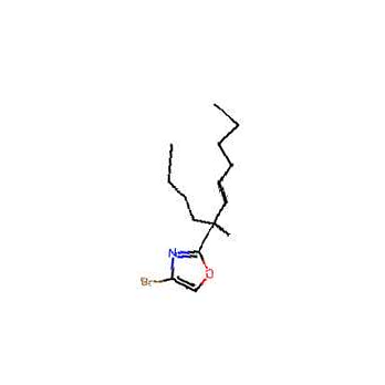 CCCCCCC(C)(CCCC)c1nc(Br)co1